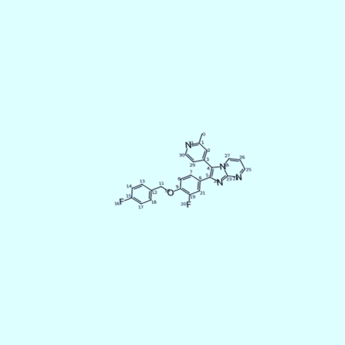 Cc1cc(-c2c(-c3ccc(OCc4ccc(F)cc4)c(F)c3)nc3ncccn23)ccn1